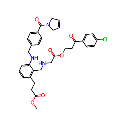 COC(=O)CCc1cccc(NCc2ccc(C(=O)N3CC=CC3)cc2)c1CNCC(=O)OCCC(=O)c1ccc(Cl)cc1